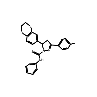 Fc1ccc(C2=NN(C(=S)Nc3ccccc3)C(c3ccc4c(c3)OCCO4)C2)cc1